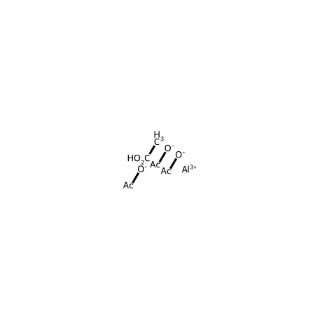 CC(=O)O.CC(=O)[O-].CC(=O)[O-].CC(=O)[O-].[Al+3]